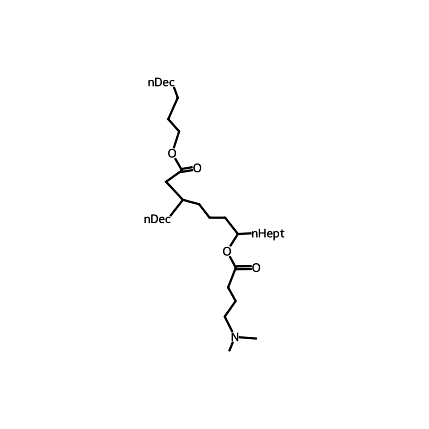 CCCCCCCCCCCCCOC(=O)CC(CCCCCCCCCC)CCCC(CCCCCCC)OC(=O)CCCN(C)C